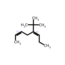 C/C=C\C/C(=C\CC)C(C)(C)C